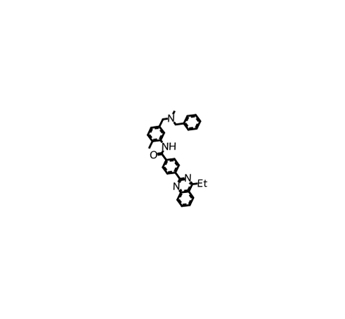 CCc1nc(-c2ccc(C(=O)Nc3cc(CN(C)Cc4ccccc4)ccc3C)cc2)nc2ccccc12